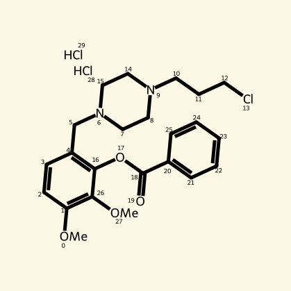 COc1ccc(CN2CCN(CCCCl)CC2)c(OC(=O)c2ccccc2)c1OC.Cl.Cl